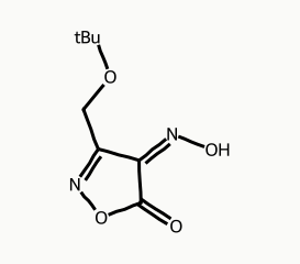 CC(C)(C)OCC1=NOC(=O)C1=NO